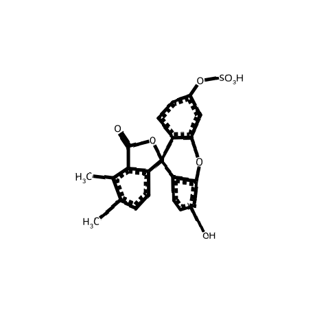 Cc1ccc2c(c1C)C(=O)OC21c2ccc(O)cc2Oc2cc(OS(=O)(=O)O)ccc21